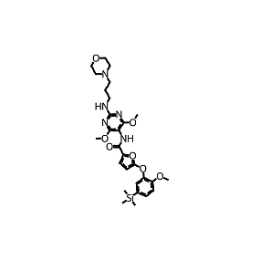 COc1ccc([Si](C)(C)C)cc1Oc1ccc(C(=O)Nc2c(OC)nc(NCCCN3CCOCC3)nc2OC)o1